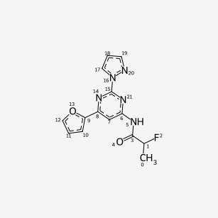 CC(F)C(=O)Nc1cc(-c2ccco2)nc(-n2cccn2)n1